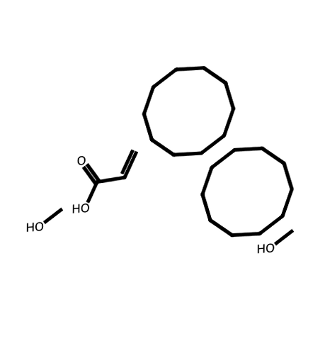 C1CCCCCCCCC1.C1CCCCCCCCC1.C=CC(=O)O.CO.CO